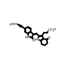 CCCCCCC#Cc1ccc2c(c1)NC(=O)C2=Cc1[nH]c2c(c1CCC(=O)O)C(=O)CCC2